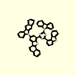 c1ccc2cc3c(cc2c1)c1ccccc1n3-c1cc(-c2nc(-c3cccc4oc5ccccc5c34)nc(-n3c4ccccc4c4ccccc43)n2)c2oc3c4ccccc4ccc3c2c1